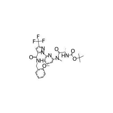 COc1ccccc1CNC(=O)c1cc(C(F)(F)F)nn1-c1cccc(N(C)C(=O)[C@H](C)NC(=O)OC(C)(C)C)n1